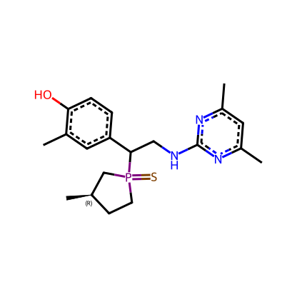 Cc1cc(C)nc(NCC(c2ccc(O)c(C)c2)P2(=S)CC[C@@H](C)C2)n1